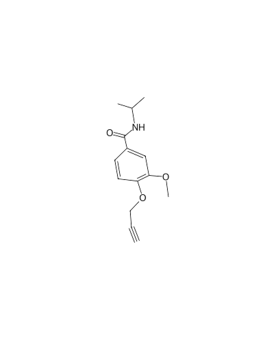 C#CCOc1ccc(C(=O)NC(C)C)cc1OC